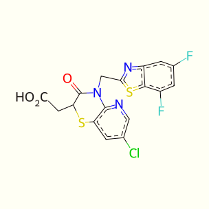 O=C(O)CC1Sc2cc(Cl)cnc2N(Cc2nc3cc(F)cc(F)c3s2)C1=O